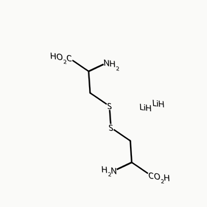 NC(CSSCC(N)C(=O)O)C(=O)O.[LiH].[LiH]